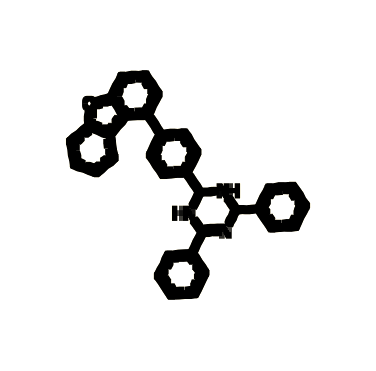 c1ccc(C2=NC(c3ccccc3)NC(c3ccc(-c4cccc5oc6ccccc6c45)cc3)N2)cc1